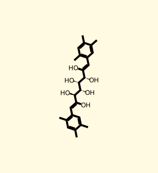 Cc1cc(C)c(C=C(O)[C@@H](O)[C@@H](O)[C@H](O)[C@@H](O)C(O)=Cc2cc(C)c(C)cc2C)cc1C